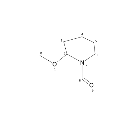 COC1CCCCN1C=O